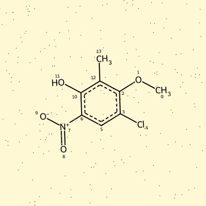 COc1c(Cl)cc([N+](=O)[O-])c(O)c1C